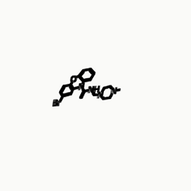 C=C(NCN1CCN(C)CC1)N1c2ccccc2Oc2ccc(Br)cc21